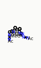 COc1nc(-c2cccc(-c3cccc(-c4cc5c(c(OC)n4)[C@@H](N4CC6(CN(C(C)=O)C6)C4)CC5)c3C)c2C)cnc1CN1CC2(C1)CN(C(C)=O)C2